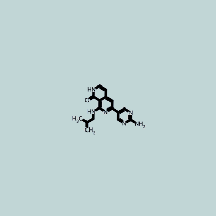 CC(C)CNc1nc(-c2cnc(N)nc2)cc2cc[nH]c(=O)c12